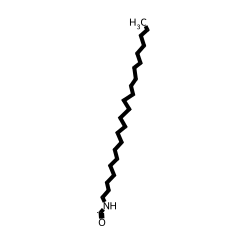 CCCCCCCCCCCCCCCCCCCCCCCN[C]=O